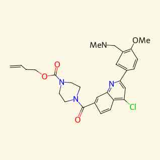 C=CCCOC(=O)N1CCN(C(=O)c2ccc3c(Cl)cc(-c4ccc(OC)c(CNC)c4)nc3c2)CC1